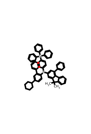 CC1(C)c2ccccc2-c2c(-c3ccccc3)cc(N(c3ccc([Si](c4ccccc4)(c4ccccc4)c4ccccc4)cc3)c3ccc(C4CCCCC4)cc3-c3ccccc3)cc21